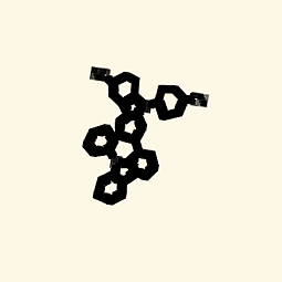 N#CC1=CC=C(n2c3c(c4ccc(-c5cccc6c7ccccc7n(-c7ccccc7)c56)cc42)C=C(C#N)CC3)CC1